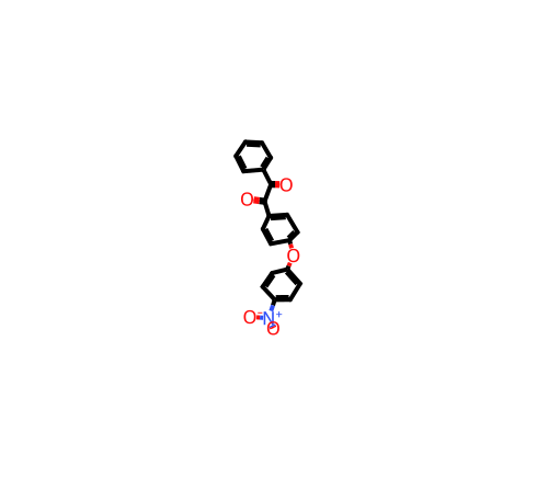 O=C(C(=O)c1ccc(Oc2ccc([N+](=O)[O-])cc2)cc1)c1ccccc1